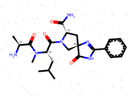 CC(C)C[C@@H](C(=O)N1C[C@@]2(C[C@H]1C(N)=O)N=C(c1ccccc1)NC2=O)N(C)C(=O)[C@H](C)N